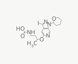 CC(CCNC(=O)O)Oc1cc2c(I)nn(C3CCCCO3)c2cn1